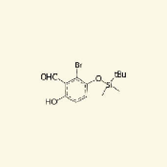 CC(C)(C)[Si](C)(C)Oc1ccc(O)c(C=O)c1Br